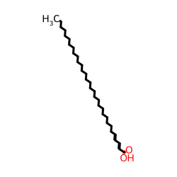 CCCCCCCCCCCCCCCCCCCCCCCCCCCC=CC=CC(=O)O